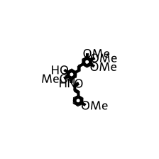 COc1cccc(/C=C/C(=O)Nc2cc(/C=C/c3cc(OC)c(OC)c(OC)c3)cc(O)c2OC)c1